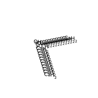 O=S(=O)(O)O.[CaH2].[CaH2].[CaH2].[CaH2].[CaH2].[CaH2].[CaH2].[CaH2].[CaH2].[CaH2].[CaH2].[CaH2].[CaH2].[CaH2].[CaH2].[CaH2].[CaH2].[CaH2].[CaH2].[CaH2].[CaH2].[CaH2].[CaH2]